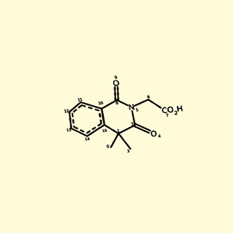 CC1(C)C(=O)N(CC(=O)O)C(=O)c2ccccc21